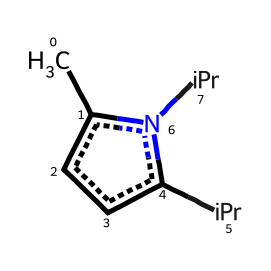 Cc1ccc(C(C)C)n1C(C)C